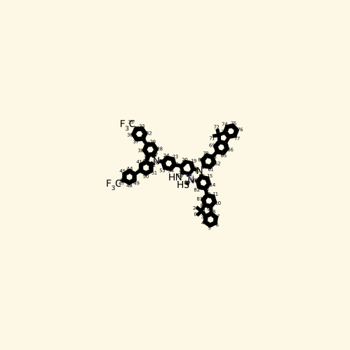 CC1(C)c2ccccc2-c2ccc(-c3ccc(N(C4=CC=C(c5ccc(-n6c7ccc(-c8ccc(C(F)(F)F)cc8)cc7c7cc(-c8ccc(C(F)(F)F)cc8)ccc76)cc5)C(=N)/C4=N\S)c4ccc(-c5ccc6c(c5)C(C)(C)c5ccccc5-6)cc4)cc3)cc21